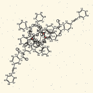 O=C1c2ccc(C#Cc3ccccc3)cc2C(=O)N1c1ccc([SiH]2O[Si]3(c4ccccc4)O[Si]4(c5ccccc5)O[Si]5(c6ccccc6)O[SiH](c6ccc(N7C(=O)c8ccc(C#Cc9ccccc9)cc8C7=O)cc6)O[Si]6(c7ccccc7)O[Si](c7ccccc7)(O[Si](c7ccccc7)(O2)O[Si](c2ccccc2)(O6)O[Si](c2ccccc2)(O3)O5)O4)cc1